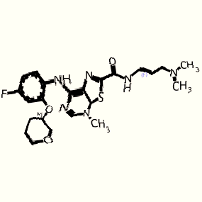 CN(C)C/C=C/NC(=O)C1=NC2=C(Nc3ccc(F)cc3O[C@@H]3CCCOC3)N=CN(C)C2S1